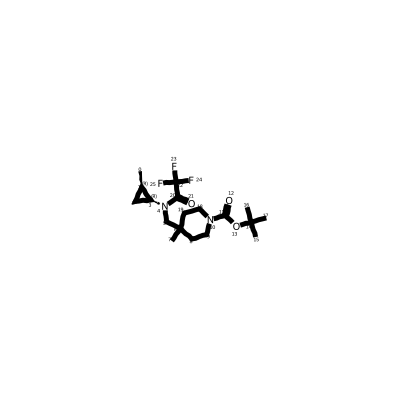 C[C@@H]1C[C@H]1N(CC1(C)CCN(C(=O)OC(C)(C)C)CC1)C(=O)C(F)(F)F